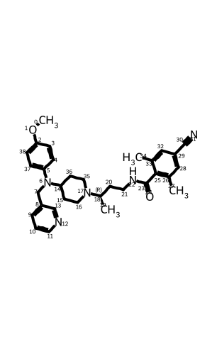 COc1ccc(N(Cc2cccnc2)C2CCN([C@H](C)CCNC(=O)c3c(C)cc(C#N)cc3C)CC2)cc1